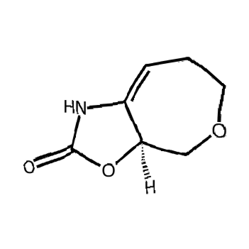 O=C1NC2=CCCOC[C@H]2O1